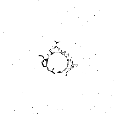 C=Cc1ccc2cc1N(C)C(=O)C[C@H](OC(=O)C(C)C)[C@]1(C)O[C@H]1[C@H](C)[C@@H]1C[C@@](O)(NC(=O)O1)[C@H](OC)/C=C/C=C(\C)C2